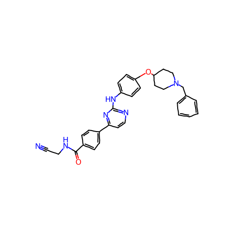 N#CCNC(=O)c1ccc(-c2ccnc(Nc3ccc(OC4CCN(Cc5ccccc5)CC4)cc3)n2)cc1